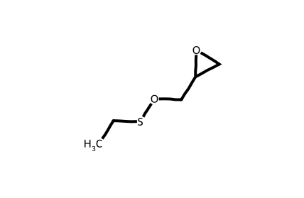 CCSOCC1CO1